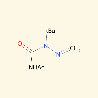 C=NN(C(=O)NC(C)=O)C(C)(C)C